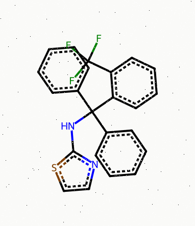 FC(F)(F)c1ccccc1C(Nc1nccs1)(c1ccccc1)c1ccccc1